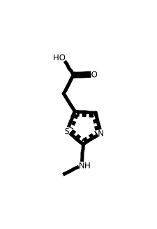 CNc1ncc(CC(=O)O)s1